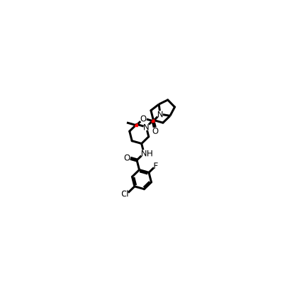 CCOC(=O)N1C2CCC1CC(N1CCCC(NC(=O)c3cc(Cl)ccc3F)C1)C2